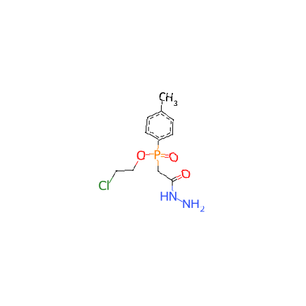 Cc1ccc(P(=O)(CC(=O)NN)OCCCl)cc1